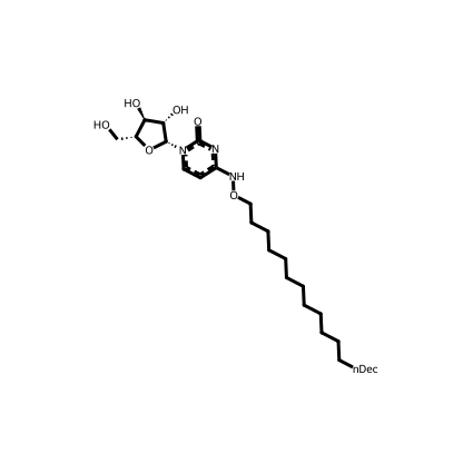 CCCCCCCCCCCCCCCCCCCCCCONc1ccn([C@@H]2O[C@H](CO)[C@@H](O)[C@@H]2O)c(=O)n1